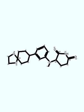 CN(c1cccc(C2CCC3(CC2)OCCO3)c1)C1CCC(=O)NC1=O